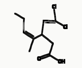 CCC=C(C)C(C=C(Cl)Cl)CC(=O)O